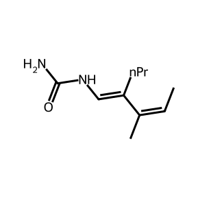 C/C=C(C)\C(=C\NC(N)=O)CCC